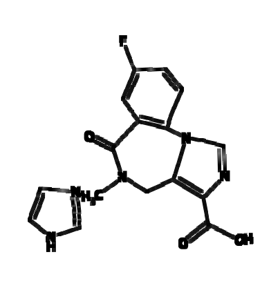 CN1Cc2c(C(=O)O)ncn2-c2ccc(F)cc2C1=O.c1c[nH]cn1